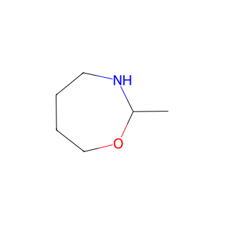 CC1NCCCCO1